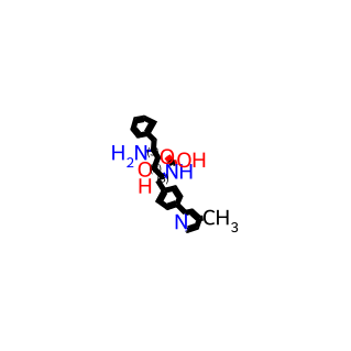 Cc1ccnc(-c2ccc(C[C@H](NC(=O)O)[C@H](O)C[C@@H](N)Cc3ccccc3)cc2)c1